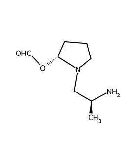 C[C@H](N)CN1CCC[C@H]1OC=O